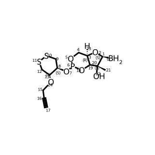 B[C@@H]1O[C@@H]2COP(O[C@@H]3CSSC[C@H]3OCC#C)OC2[C@@]1(C)O